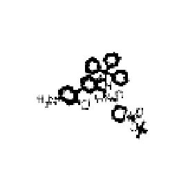 CC(C)(C)OC(=O)N1CCC[C@H](C(=O)Nc2nn(C(c3ccccc3)(c3ccccc3)c3ccccc3)c3ccc(-c4ccc(N)cc4Cl)cc23)C1